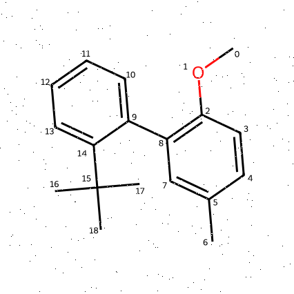 COc1ccc(C)cc1-c1ccccc1C(C)(C)C